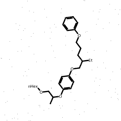 CCCCCCOCC(C)Oc1ccc(OCC(CC)CCCOc2cc[c]cc2)cc1